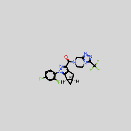 O=C(c1nn(-c2ccc(F)cc2F)c2c1C[C@H]1C[C@@H]21)N1CCn2c(nnc2C(F)(F)F)C1